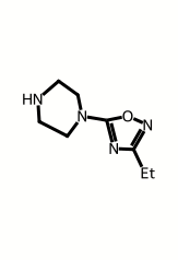 CCc1noc(N2CCNCC2)n1